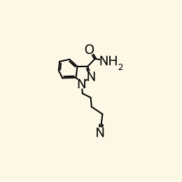 N#CCCCCn1nc(C(N)=O)c2ccccc21